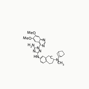 COc1cc2ncnc(-n3nc(Nc4ccc5c(c4)CCC(N(C)C4CC6CCC4C6)CC5)nc3N)c2cc1OC